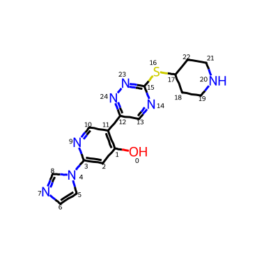 Oc1cc(-n2ccnc2)ncc1-c1cnc(SC2CCNCC2)nn1